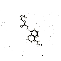 CCOC(=O)COc1cccc2c1CCCC2CO